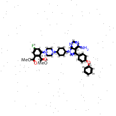 COC(=O)c1cc(F)cc(N2CCN(C3CCC(n4nc(-c5ccc(Oc6ccccc6)cc5)c5c(N)ncnc54)CC3)CC2)c1C(=O)OC